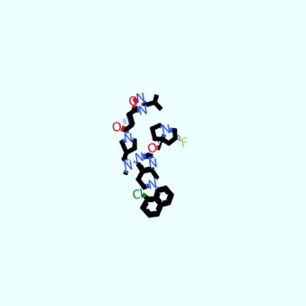 CC(C)c1noc(/C=C/C(=O)N2CCC(/C=[N+](/C)c3nc(OC[C@@]45CCCN4C[C@H](F)C5)nc4c3CCN(c3cccc5cccc(Cl)c35)C4)C2)n1